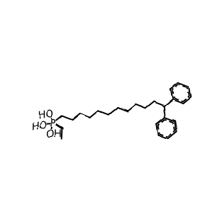 CCP(O)(O)(O)CCCCCCCCCCCC(c1ccccc1)c1ccccc1